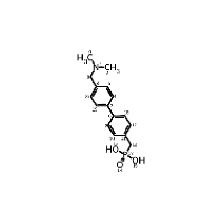 CN(C)Cc1ccc(-c2ccc(CP(=O)(O)O)cc2)cc1